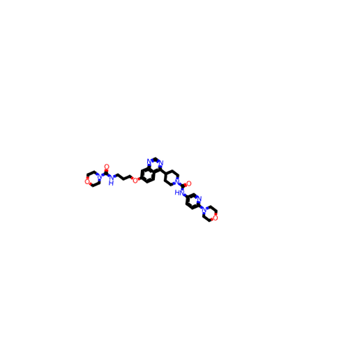 O=C(NCCCOc1ccc2c(C3CCN(C(=O)Nc4ccc(N5CCOCC5)nc4)CC3)ncnc2c1)N1CCOCC1